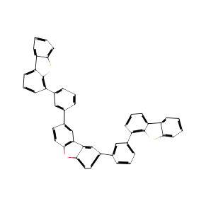 c1cc(-c2ccc3oc4ccc(-c5cccc(-c6cccc7c6sc6ccccc67)c5)cc4c3c2)cc(-c2cccc3c2sc2ccccc23)c1